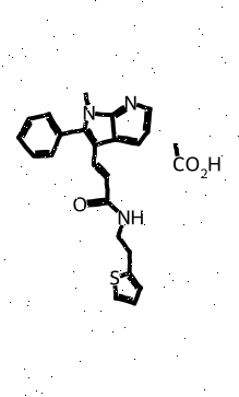 CC(=O)O.Cn1c(-c2ccccc2)c(C=CC(=O)NCCc2cccs2)c2cccnc21